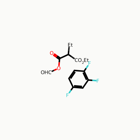 CCOC(=O)C(CC)C(=O)OC=O.Fc1ccc(F)c(F)c1